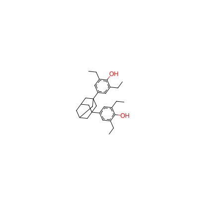 CCc1cc(C23CC4CC(C2)CC(c2cc(CC)c(O)c(CC)c2)(C4)C3)cc(CC)c1O